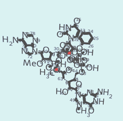 CO[C@@H]1[C@H](P(=O)([O-])OC[C@H]2O[C@@H](n3ccc(=O)[nH]c3=O)[C@H](Oc3ccccc3)[C@@H]2O)[C@@H](COP(=O)(O)OP(=O)(O)OP(=O)(O)OC[C@H]2OC(n3c[n+](C)c4c(=O)[nH]c(N)nc43)[C@H](O)[C@@H]2CC(=O)N(C)C)O[C@H]1n1cnc2c(N)ncnc21